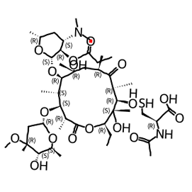 CC(=O)N[C@@H](CS)C(=O)O.CCC(=O)O[C@H]1[C@H](O[C@@H]2[C@@H](C)[C@H](O[C@H]3C[C@@](C)(OC)[C@@H](O)[C@H](C)O3)[C@@H](C)C(=O)O[C@H](CC)[C@@](C)(O)[C@H](O)[C@@H](C)C(=O)[C@H](C)C[C@@]2(C)O)O[C@H](C)C[C@@H]1N(C)C